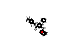 O=c1[nH]c(-c2ccc(C(F)(F)F)cc2)nc2cc(Oc3ccccc3)c(NC3C4CC5CC(C4)CC3C5)cc12